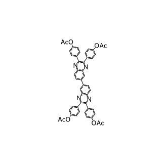 CC(=O)Oc1ccc(-c2nc3ccc(-c4ccc5nc(-c6ccc(OC(C)=O)cc6)c(-c6ccc(OC(C)=O)cc6)nc5c4)cc3nc2-c2ccc(OC(C)=O)cc2)cc1